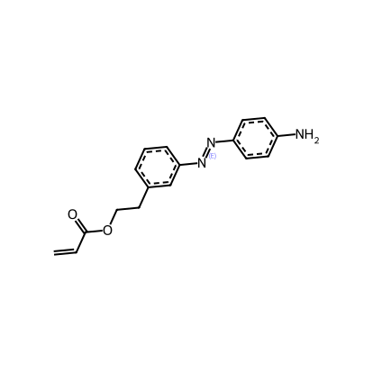 C=CC(=O)OCCc1cccc(/N=N/c2ccc(N)cc2)c1